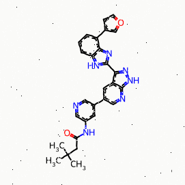 CC(C)(C)CC(=O)Nc1cncc(-c2cnc3[nH]nc(-c4nc5c(-c6ccoc6)cccc5[nH]4)c3c2)c1